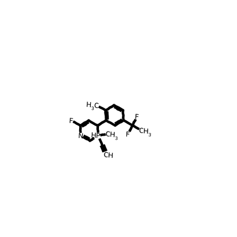 C#C[PH]1(C)C=NC(F)=CC1c1cc(C(C)(F)F)ccc1C